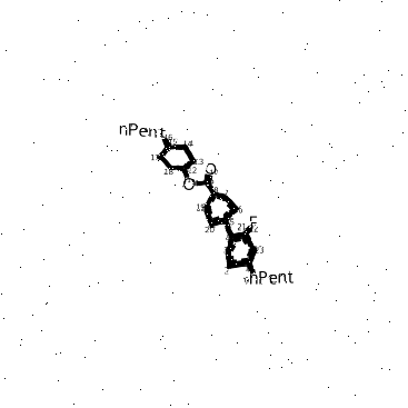 CCCCCc1ccc(-c2ccc(C(=O)OC3CCC(CCCCC)CC3)cc2)c(F)c1